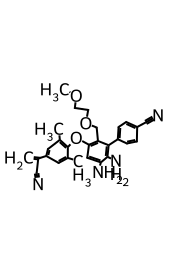 C=C(C#N)c1cc(C)c(Oc2cc(N)c(N)c(-c3ccc(C#N)cc3)c2COCCOC)c(C)c1